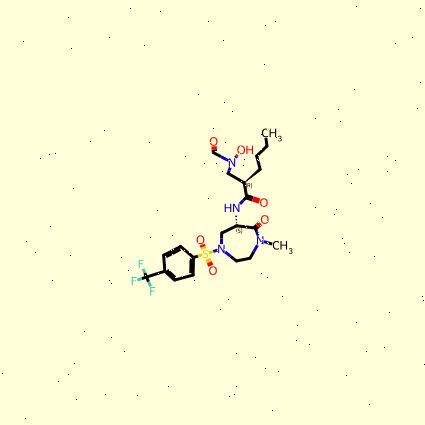 CCCC[C@H](CN(O)C=O)C(=O)N[C@H]1CN(S(=O)(=O)c2ccc(C(F)(F)F)cc2)CCN(C)C1=O